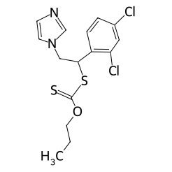 CCCOC(=S)SC(Cn1ccnc1)c1ccc(Cl)cc1Cl